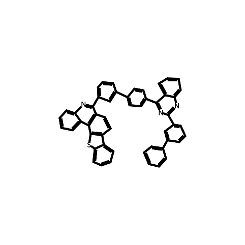 c1ccc(-c2cccc(-c3nc(-c4ccc(-c5cccc(-c6nc7ccccc7c7c6ccc6c8ccccc8sc67)c5)cc4)c4ccccc4n3)c2)cc1